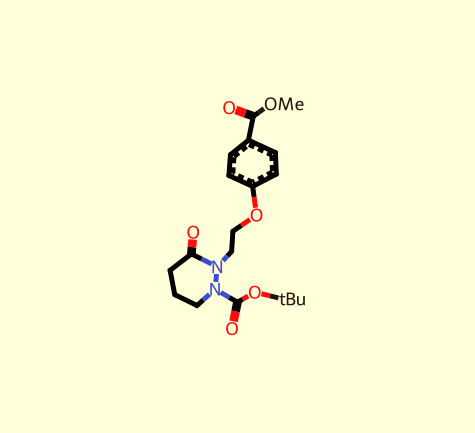 COC(=O)c1ccc(OCCN2C(=O)CCCN2C(=O)OC(C)(C)C)cc1